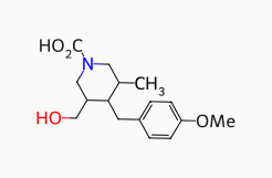 COc1ccc(CC2C(C)CN(C(=O)O)CC2CO)cc1